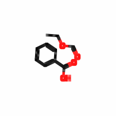 CCOC=O.O=C(O)c1ccccc1